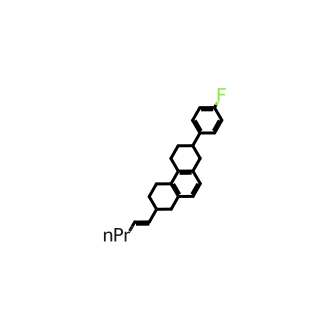 CCC/C=C/C1CCc2c(ccc3c2CCC(c2ccc(F)cc2)C3)C1